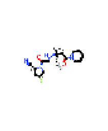 CC(C)(CC(=O)N1CC=CCC1)NCC(=O)N1C[C@@H](F)C[C@H]1C#N